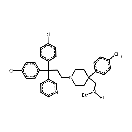 CCN(CC)CC1(c2ccc(C)cc2)CCN(CCC(c2ccc(Cl)cc2)(c2ccc(Cl)cc2)c2cccnc2)CC1